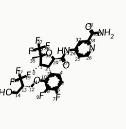 C[C@H]1[C@@H](c2ccc(F)c(F)c2OC[C@H](CO)C(F)(F)F)[C@H](C(=O)Nc2ccnc(C(N)=O)c2)O[C@@]1(C)C(F)(F)F